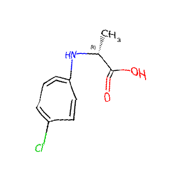 C[C@@H](Nc1ccc(Cl)cc1)C(=O)O